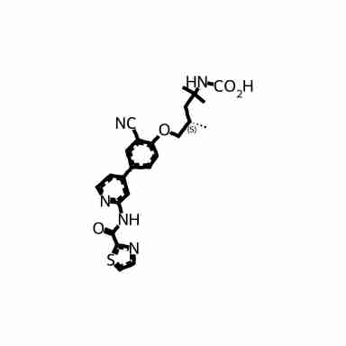 C[C@H](COc1ccc(-c2ccnc(NC(=O)c3nccs3)c2)cc1C#N)CC(C)(C)NC(=O)O